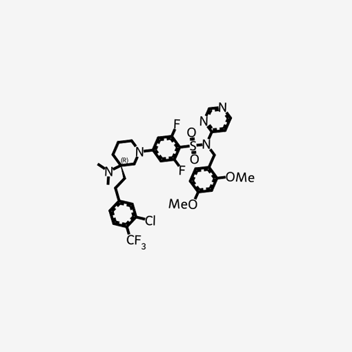 COc1ccc(CN(c2ccncn2)S(=O)(=O)c2c(F)cc(N3CCC[C@@](CCc4ccc(C(F)(F)F)c(Cl)c4)(N(C)C)C3)cc2F)c(OC)c1